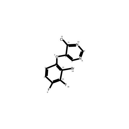 Fc1ccc(Oc2cncnc2Cl)c(Br)c1F